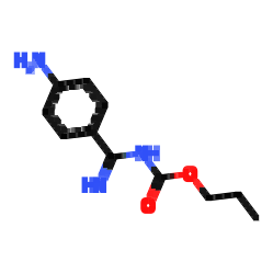 CCCOC(=O)NC(=N)c1ccc(N)cc1